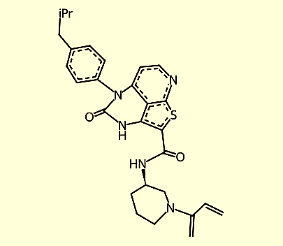 C=CC(=C)N1CCC[C@@H](NC(=O)c2sc3nccc4c3c2NC(=O)N4c2ccc(CC(C)C)cc2)C1